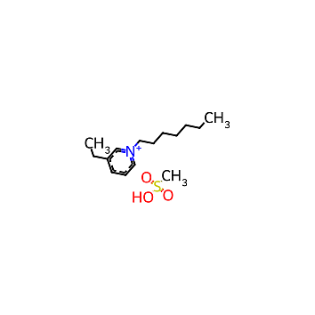 CCCCCCC[n+]1cccc(CC)c1.CS(=O)(=O)O